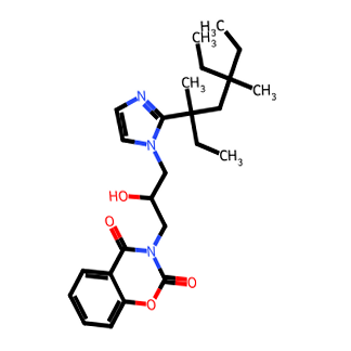 CCC(C)(CC)CC(C)(CC)c1nccn1CC(O)Cn1c(=O)oc2ccccc2c1=O